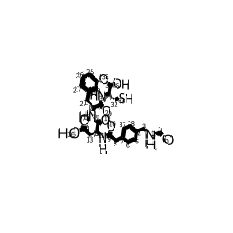 O=CNCc1ccc(CC(=O)N[C@@H](CC(=O)O)C(=O)N[C@@H](Cc2ccccc2)C(=O)N[C@@H](CS)C(=O)O)cc1